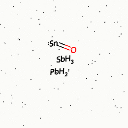 [O]=[Sn].[PbH2].[SbH3]